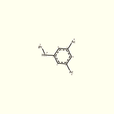 CC(=O)c1cc(NC(C)C)cc(C(C)=O)c1